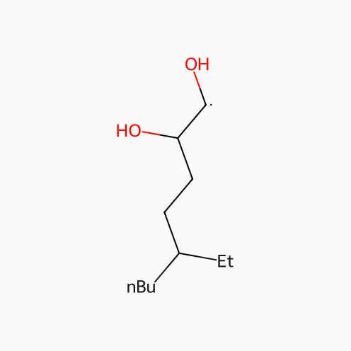 CCCCC(CC)CCC(O)[CH]O